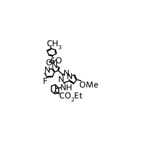 CCOC(=O)C1C2CCC(CC2)C1Nc1nc(-c2cn(S(=O)(=O)c3ccc(C)cc3)c3ncc(F)cc23)nn2cc(COC)cc12